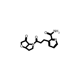 NC(=O)c1ncccc1C[CH]C(=O)N1CCC2OCC(=O)C21